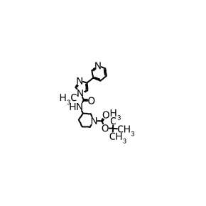 CC(C)(C)OC(=O)N1CCCC(NC(=O)[N+]2(C)C=NC(c3cccnc3)=C2)C1